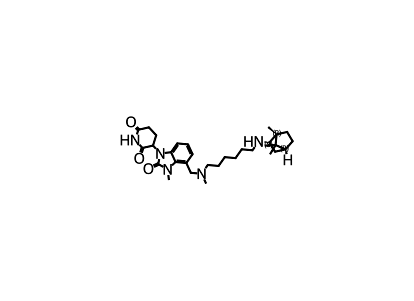 CN(CCCCCCN[C@H]1C[C@H]2CC[C@]1(C)C2(C)C)Cc1cccc2c1n(C)c(=O)n2C1CCC(=O)NC1=O